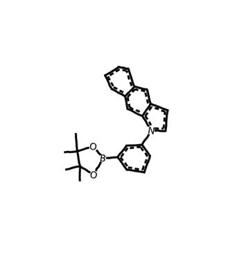 CC1(C)OB(c2cccc(-n3ccc4cc5ccccc5cc43)c2)OC1(C)C